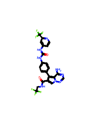 Nc1ncnn2cc(C(=O)NCC(F)(F)F)c(-c3ccc(NC(=O)Nc4ccnc(C(F)(F)F)c4)cc3)c12